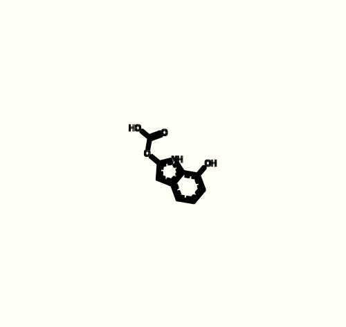 O=C(O)Oc1cc2cccc(O)c2[nH]1